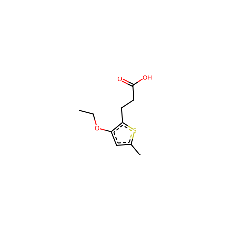 CCOc1cc(C)sc1CCC(=O)O